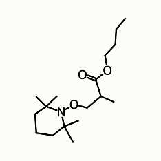 CCCCOC(=O)C(C)CON1C(C)(C)CCCC1(C)C